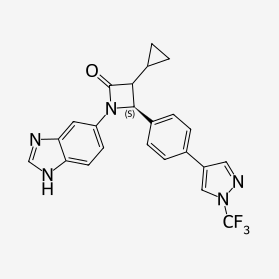 O=C1C(C2CC2)[C@@H](c2ccc(-c3cnn(C(F)(F)F)c3)cc2)N1c1ccc2[nH]cnc2c1